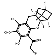 CC(C)CC(=O)c1c(O)c(C=O)c(O)c2c1O[C@@H]1[C@@H]3C[C@H](C[C@]1(C)C2)C3(C)C